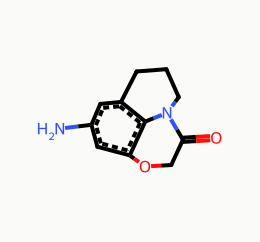 Nc1cc2c3c(c1)OCC(=O)N3CCC2